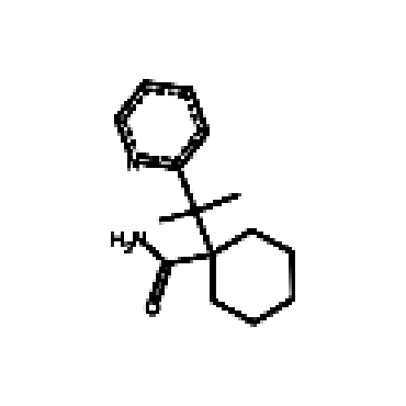 CC(C)(c1ccccn1)C1(C(N)=O)CCCCC1